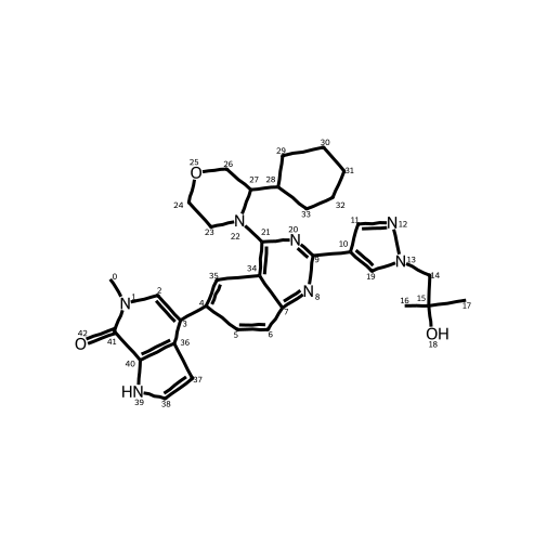 Cn1cc(-c2ccc3nc(-c4cnn(CC(C)(C)O)c4)nc(N4CCOCC4C4CCCCC4)c3c2)c2cc[nH]c2c1=O